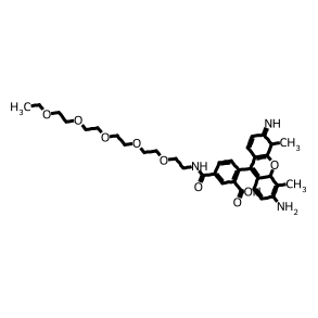 CCOCCOCCOCCOCCOCCNC(=O)c1ccc(C2=C3C=CC(N)=C(C)C3OC3=C2C=CC(=N)C3C)c(C(=O)O)c1